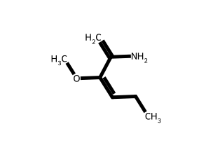 C=C(N)/C(=C\CC)OC